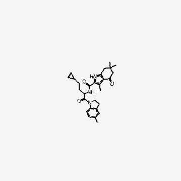 Cc1ccc2c(c1)CCN2C(=O)C(CCC1CC1)NC(=O)c1[nH]c2c(c1C)C(=O)CC(C)(C)C2